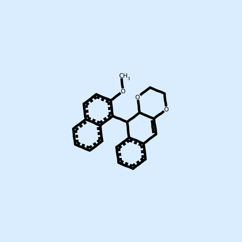 COc1ccc2ccccc2c1C1c2ccccc2C=C2OCCOC21